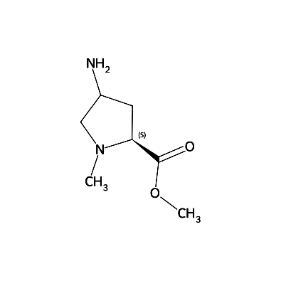 COC(=O)[C@@H]1CC(N)CN1C